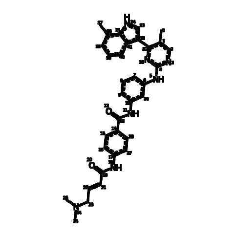 Cc1cnc(Nc2cccc(NC(=O)c3ccc(NC(=O)/C=C/CN(C)C)cc3)c2)nc1-c1c[nH]c2c(C)cccc12